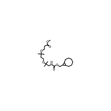 COC(=O)CCOC(C)(C)CCOC(C)(C)CNC(=O)OCC1C2CCCCCCC21